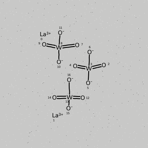 [La+3].[La+3].[O]=[W](=[O])([O-])[O-].[O]=[W](=[O])([O-])[O-].[O]=[W](=[O])([O-])[O-]